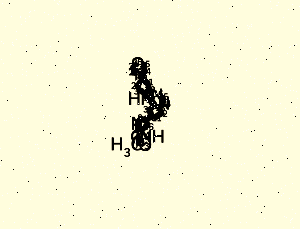 CS(=O)(=O)Nc1cncc(-c2ccc3ncnc(NC4CCC(N5CCOCC5)CC4)c3c2)c1